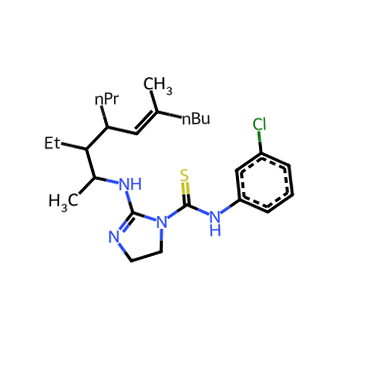 CCCC/C(C)=C/C(CCC)C(CC)C(C)NC1=NCCN1C(=S)Nc1cccc(Cl)c1